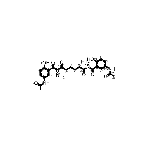 CC(=O)Nc1ccc(O)c(C(=O)N(N)C(=O)CCCCC(=O)N(N)C(=O)c2cc(NC(C)=O)ccc2O)c1